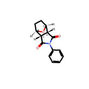 O=C1[C@@H]2[C@H](C(=O)N1c1ccccc1)[C@H]1CC[C@@H]2O1